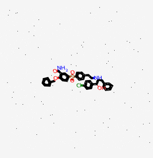 NC(=O)c1cc(S(=O)(=O)c2ccc(CCNC(Cc3ccccc3)[C@H](O)c3ccc(Cl)cc3)cc2)ccc1OCc1ccccc1